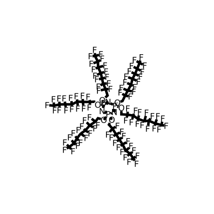 FC(F)(F)C(F)(F)C(F)(F)C(F)(F)C(F)(F)C(F)(F)C(F)(F)COP1(OCC(F)(F)C(F)(F)C(F)(F)C(F)(F)C(F)(F)C(F)(F)C(F)(F)F)=NP(OCC(F)(F)C(F)(F)C(F)(F)C(F)(F)C(F)(F)C(F)(F)C(F)(F)F)(OCC(F)(F)C(F)(F)C(F)(F)C(F)(F)C(F)(F)C(F)(F)C(F)(F)F)=NP(OCC(F)(F)C(F)(F)C(F)(F)C(F)(F)C(F)(F)C(F)(F)C(F)(F)F)(OCC(F)(F)C(F)(F)C(F)(F)C(F)(F)C(F)(F)C(F)(F)C(F)(F)F)=N1